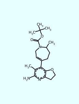 Cc1c(N)nc2c(c1C1=CCN(C(=O)OC(C)(C)C)C(C)CC1)OCC2